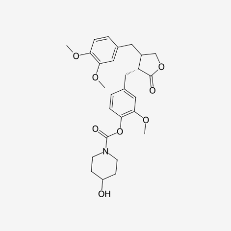 COc1ccc(CC2COC(=O)[C@@H]2Cc2ccc(OC(=O)N3CCC(O)CC3)c(OC)c2)cc1OC